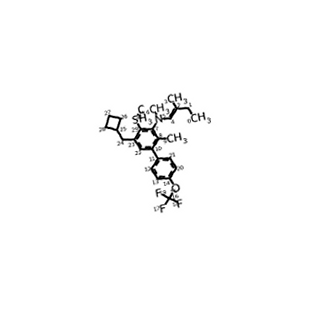 CC/C(C)=C/N(C)c1c(C)c(-c2ccc(OC(F)(F)F)cc2)cc(CC2CCC2)c1SC